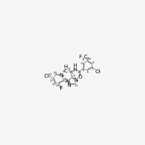 C[C@H](NC(=O)c1cc(Cl)cc(C(F)(F)F)c1)c1ncnn1-c1ncc(Cl)cc1F